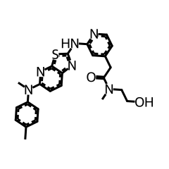 Cc1ccc(N(C)c2ccc3nc(Nc4cc(CC(=O)N(C)CCO)ccn4)sc3n2)cc1